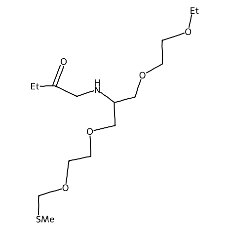 CCOCCOCC(COCCOCSC)NCC(=O)CC